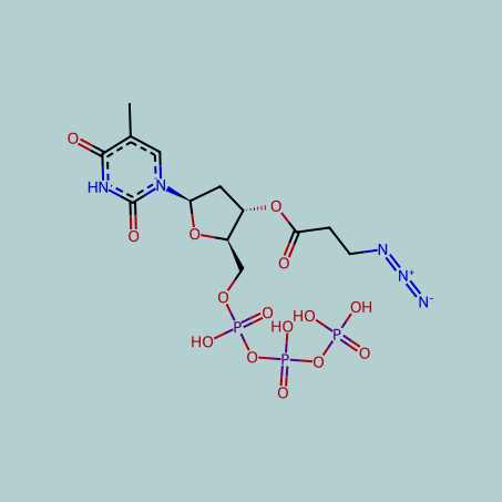 Cc1cn([C@H]2C[C@H](OC(=O)CCN=[N+]=[N-])[C@@H](COP(=O)(O)OP(=O)(O)OP(=O)(O)O)O2)c(=O)[nH]c1=O